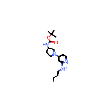 CCCCNc1cc(N2CCC(NC(=O)OC(C)(C)C)C2)ccn1